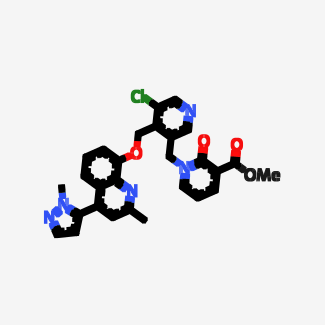 COC(=O)c1cccn(Cc2cncc(Cl)c2COc2cccc3c(-c4ccnn4C)cc(C)nc23)c1=O